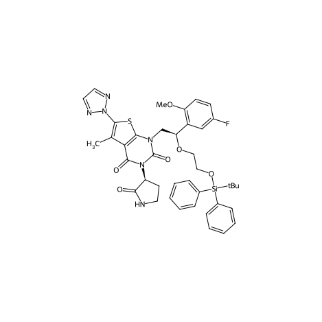 COc1ccc(F)cc1[C@H](Cn1c(=O)n([C@H]2CCNC2=O)c(=O)c2c(C)c(-n3nccn3)sc21)OCCO[Si](c1ccccc1)(c1ccccc1)C(C)(C)C